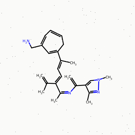 C=C(C)C(=C\C=C(/C)C1=CC(CN)=CC=CC1)/C(C)=N\C(=C)c1cn(C)nc1C